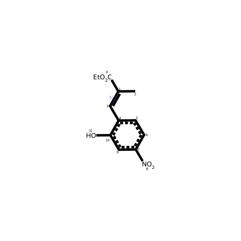 CCOC(=O)/C(C)=C/c1ccc([N+](=O)[O-])cc1O